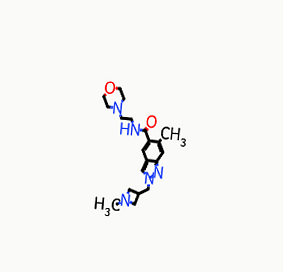 Cc1cc2nn(CC3CN(C)C3)cc2cc1C(=O)NCCN1CCOCC1